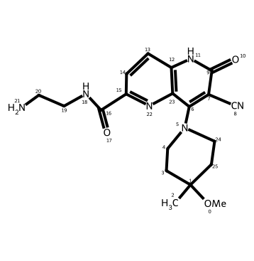 COC1(C)CCN(c2c(C#N)c(=O)[nH]c3ccc(C(=O)NCCN)nc23)CC1